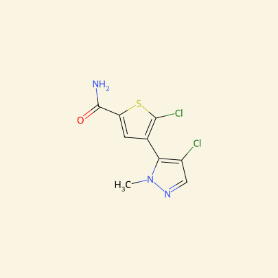 Cn1ncc(Cl)c1-c1cc(C(N)=O)sc1Cl